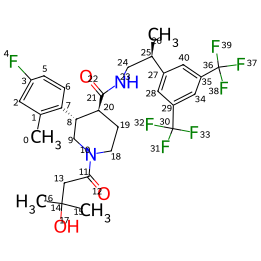 Cc1cc(F)ccc1[C@H]1CN(C(=O)CC(C)(C)O)CC[C@@H]1C(=O)NC[C@@H](C)c1cc(C(F)(F)F)cc(C(F)(F)F)c1